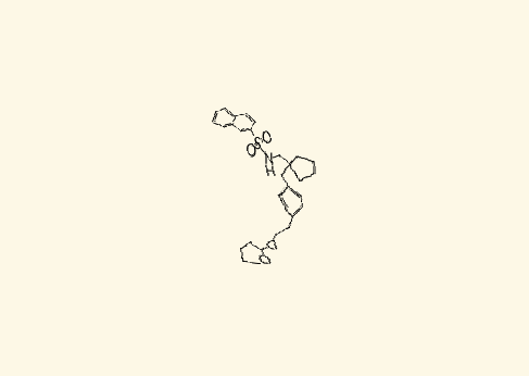 O=S(=O)(NCC1(Cc2ccc(CCOC3CCCCO3)cc2)CCCC1)c1ccc2ccccc2c1